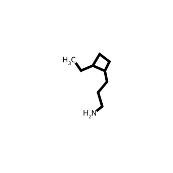 CCC1CCC1CCCN